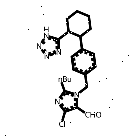 CCCCc1nc(Cl)c(C=O)n1Cc1ccc(C2CCCCC2c2nnn[nH]2)cc1